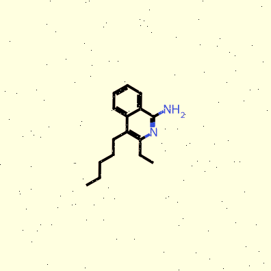 CCCCCc1c(CC)nc(N)c2ccccc12